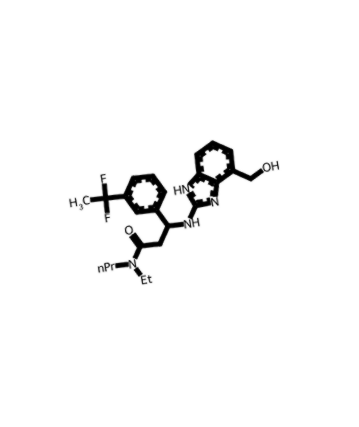 CCCN(CC)C(=O)CC(Nc1nc2c(CO)cccc2[nH]1)c1cccc(C(C)(F)F)c1